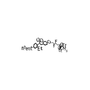 CCCCCc1ccc(-c2cc3ccc(OCCC(F)C(F)CC[Si](C)(OCC)OCC)cc3oc2=O)c(CC)c1